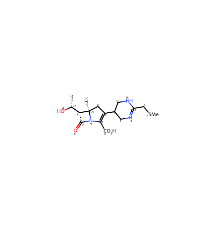 CSCC1=NCC(C2=C(C(=O)O)N3C(=O)[C@H]([C@@H](C)O)[C@H]3C2)CN1